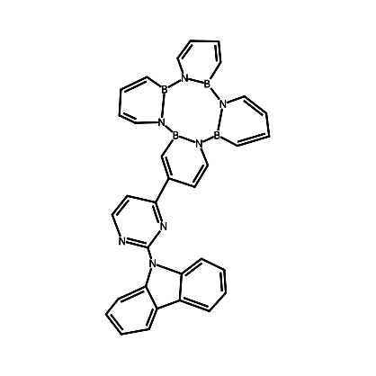 C1=CB2N(C=C1)B1C=CC=CN1B1C=C(c3ccnc(-n4c5ccccc5c5ccccc54)n3)C=CN1B1C=CC=CN21